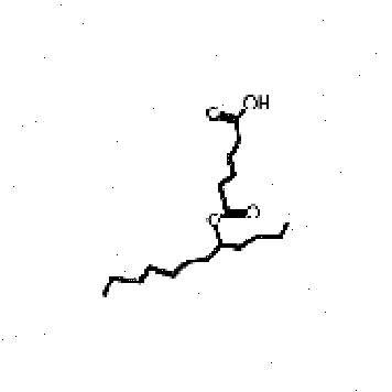 CCCCCCCC(CCCC)OC(=O)CCCCC(=O)O